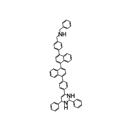 C1=C(c2ccc(-c3ccc(-c4ccc(-c5ccc(CNCc6ccccc6)cc5)c5ccccc45)c4ccccc34)cc2)NC(c2ccccc2)NC1c1ccccc1